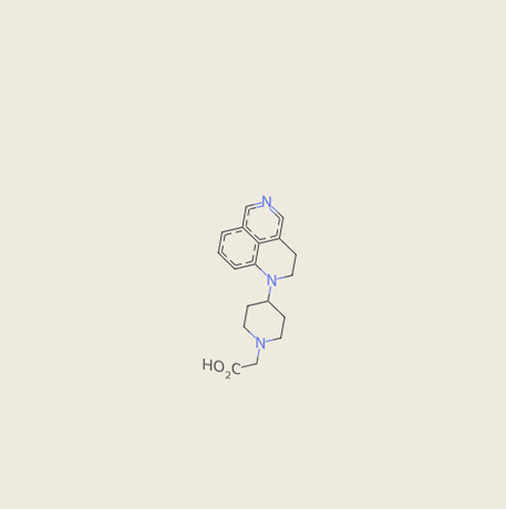 O=C(O)CN1CCC(N2CCc3cncc4cccc2c34)CC1